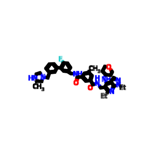 CCc1nc2c(cnn2CC)c(NC2CCOCC2)c1CNC(=O)c1cc(C)cc(C(=O)NCc2ccc(F)c(-c3cccc(CN4CCN[C@@H](C)C4)c3)c2)c1